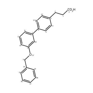 O=C(O)CCc1ccc(-c2cccc(OCc3ccccc3)c2)nc1